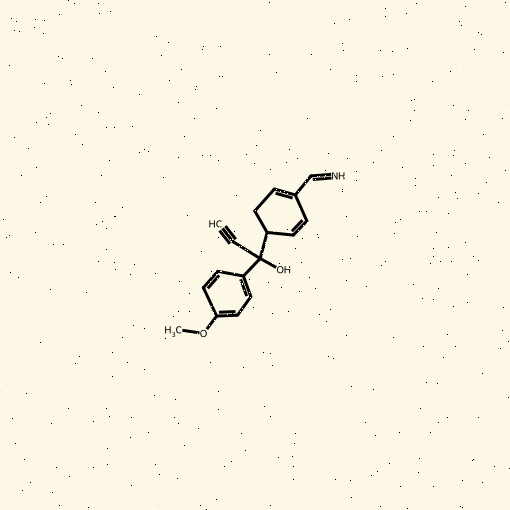 C#CC(O)(c1ccc(OC)cc1)C1C=CC(C=N)=CC1